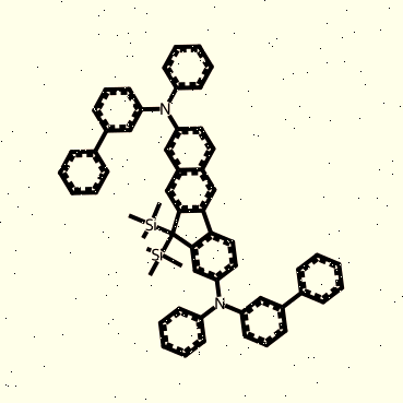 C[Si](C)(C)C1([Si](C)(C)C)c2cc(N(c3ccccc3)c3cccc(-c4ccccc4)c3)ccc2-c2cc3ccc(N(c4ccccc4)c4cccc(-c5ccccc5)c4)cc3cc21